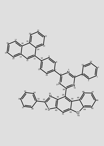 c1ccc(-c2nc(-c3ccc(-c4cc5ccccc5c5ccccc45)cc3)nc(-c3c4nc(-c5ccccc5)sc4cc4oc5ccccc5c34)n2)cc1